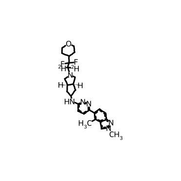 [2H]C([2H])(N1C[C@H]2CC(Nc3ccc(-c4ccc5nn(C)cc5c4C)nn3)C[C@H]2C1)C(F)(F)C1CCOCC1